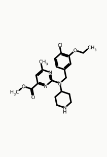 CCOc1cc(CN(c2nc(C)cc(C(=O)OC)n2)C2CCNCC2)ccc1Cl